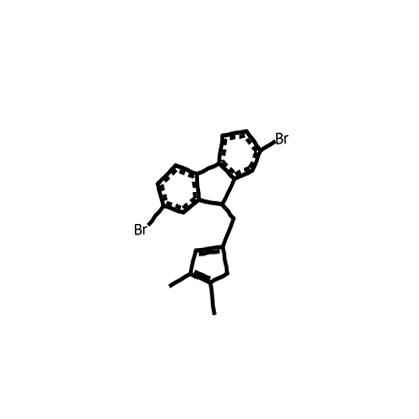 CC1=C(C)CC(CC2c3cc(Br)ccc3-c3ccc(Br)cc32)=C1